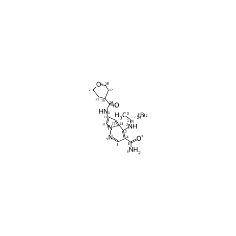 C[C@@H](Nc1c(C(N)=O)cnn2cc(NC(=O)C3CCOCC3)cc12)C(C)(C)C